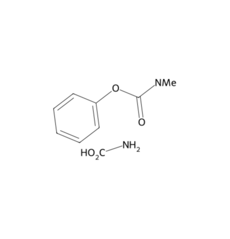 CNC(=O)Oc1ccccc1.NC(=O)O